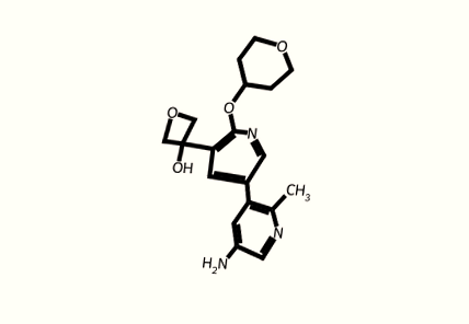 Cc1ncc(N)cc1-c1cnc(OC2CCOCC2)c(C2(O)COC2)c1